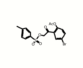 CC(=O)Oc1ccc(Br)cc1C(=O)COS(=O)(=O)c1ccc(C)cc1